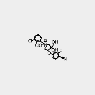 N#Cc1ccc(OC2CN(S(=O)(=O)c3cccc(Cl)c3Cl)C[C@@]2(O)CO)cc1F